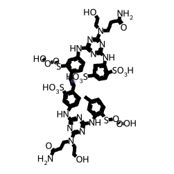 Cc1ccc(SOOO)c(Nc2nc(Nc3ccc(/C=C/c4ccc(Nc5nc(Nc6cc(S(=O)(=O)O)ccc6S(=O)(=O)O)nc(N(CCO)CCC(N)=O)n5)cc4SOOO)c(S(=O)(=O)O)c3)nc(N(CCO)CCC(N)=O)n2)c1